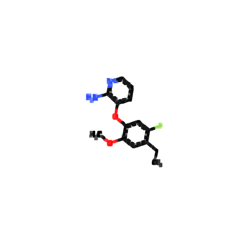 CCc1cc(OC)c(Oc2cccnc2N)cc1F